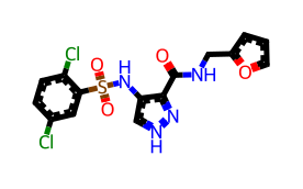 O=C(NCc1ccco1)c1n[nH]cc1NS(=O)(=O)c1cc(Cl)ccc1Cl